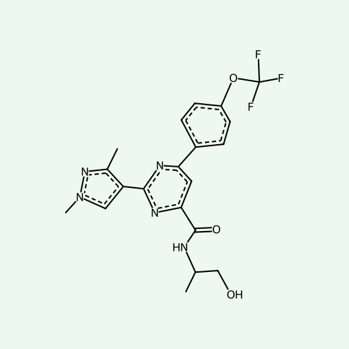 Cc1nn(C)cc1-c1nc(C(=O)NC(C)CO)cc(-c2ccc(OC(F)(F)F)cc2)n1